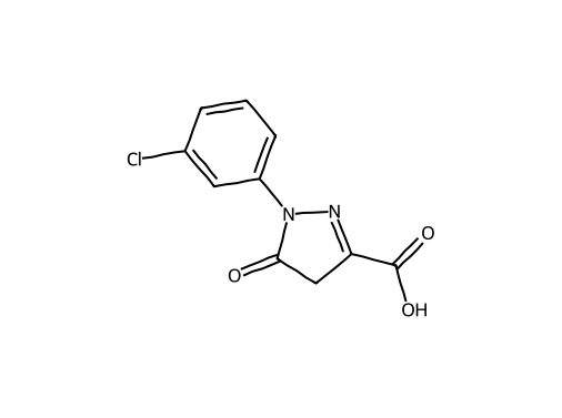 O=C(O)C1=NN(c2cccc(Cl)c2)C(=O)C1